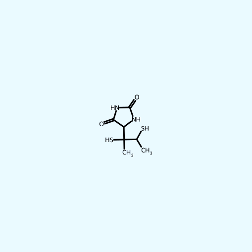 CC(S)C(C)(S)C1NC(=O)NC1=O